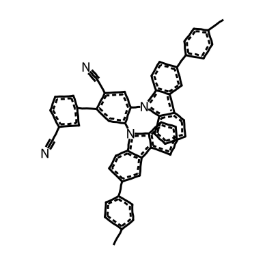 Cc1ccc(-c2ccc3c(c2)c2ccccc2n3-c2cc(C#N)c(-c3cccc(C#N)c3)cc2-n2c3ccccc3c3cc(-c4ccc(C)cc4)ccc32)cc1